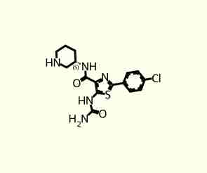 NC(=O)Nc1sc(-c2ccc(Cl)cc2)nc1C(=O)N[C@H]1CCCNC1